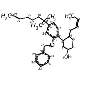 C/C=C\CC1CCC(O)CC1c1ccc(C(C)(C)CCCCCC)cc1OCc1ccccc1